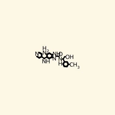 Cc1cccc(C(CO)NC(=O)c2nc3cc(C(=N)c4ccncc4)c(N)cc3[nH]2)c1